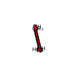 CN1C(=O)C[C@H](C(=O)NCCOCCOCCOCCOCCOCCOCCOCCOCCOCCOCCOCCOCCC(=O)N[C@@H]2CN(C(=O)O)Cc3cc(C(F)(F)F)cnc32)[C@H]1c1cccnc1